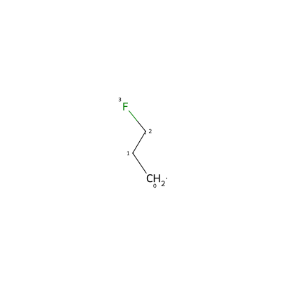 [CH2]C[CH]F